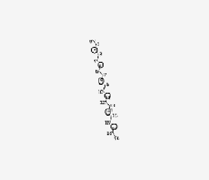 [CH2]COCCOCCOCCOCCOCCOCC